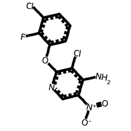 Nc1c([N+](=O)[O-])cnc(Oc2cccc(Cl)c2F)c1Cl